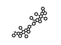 CC1(C)c2ccccc2-c2c1cc1c3c(-c4ccccc4)c4cc5c6ccc(-c7ccc8c9c%10cccc%11c%12c(-c%13ccccc%13)c%13c(cc%14c%15ccccc%15c%15cccc%13c%15%14)c(-c%13ccccc%13)c%12c(cc9n(-c9ccccc9)c8c7)c%11%10)cc6c6cccc(c4c(-c4ccccc4)c3c3cccc2c13)c65